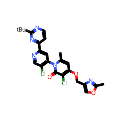 Cc1nc(COc2cc(C)n(-c3cc(-c4ccnc(C(C)(C)C)n4)ncc3Cl)c(=O)c2Cl)co1